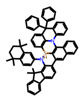 CC1(C)CCC(C)(C)c2cc(N3c4c(ccc5c4C(C)(C)c4ccccc4-5)-c4cc5ccccc5c5c4[SH]3c3cccc4c3N5c3ccccc3C4(c3ccccc3)c3ccccc3)ccc21